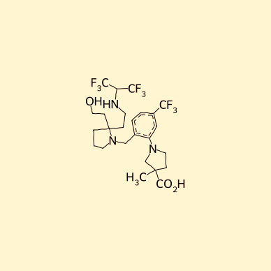 CC1(C(=O)O)CCN(c2cc(C(F)(F)F)ccc2CN2CCCC2(CCO)CCNC(C(F)(F)F)C(F)(F)F)C1